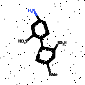 CNc1ccc(-c2ccc(N)cc2S(=O)(=O)O)c(S(=O)(=O)O)c1